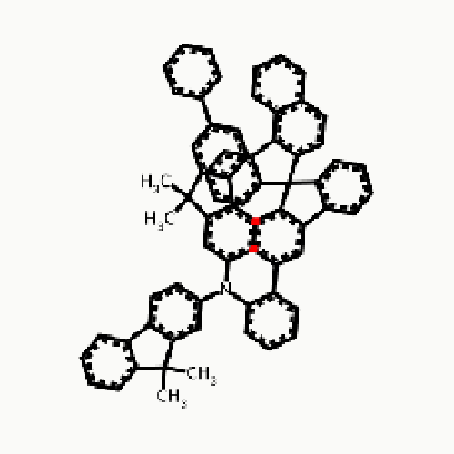 CC1(C)c2ccccc2-c2ccc(N(c3ccc4c(c3)C(C)(C)c3cc(-c5ccccc5)ccc3-4)c3ccccc3-c3ccc4c(c3)-c3ccccc3C43c4ccccc4-c4c3ccc3ccccc43)cc21